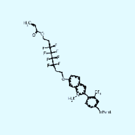 C=CC(=O)OCCC(F)(F)C(F)(F)C(F)(F)C(F)(F)CCOc1ccc2cc(-c3ccc(CCCCC)cc3C(F)(F)F)n(C)c2c1